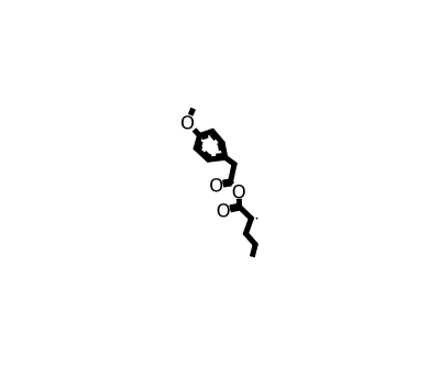 CCC[CH]C(=O)OC(=O)Cc1ccc(OC)cc1